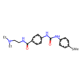 CCN(CC)CCNC(=O)c1ccc(NC(=O)Nc2ccc(SC)cc2)cc1